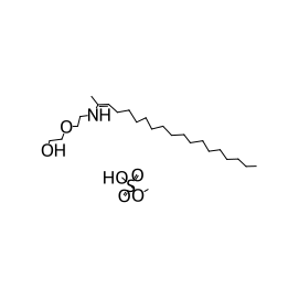 CCCCCCCCCCCCCCCCC=C(C)NCCOCCO.COS(=O)(=O)O